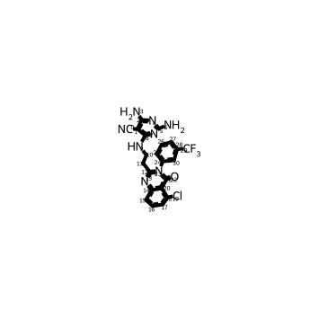 N#Cc1c(N)nc(N)nc1NCCc1nc2cccc(Cl)c2c(=O)n1-c1cccc(C(F)(F)F)c1